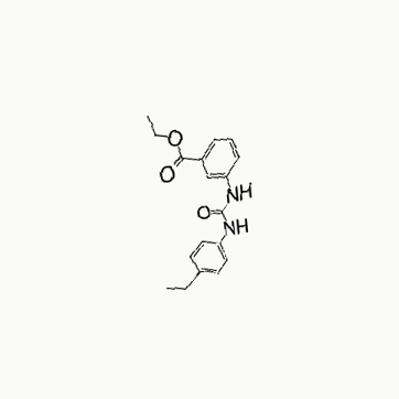 CCOC(=O)c1cccc(NC(=O)Nc2ccc(CC)cc2)c1